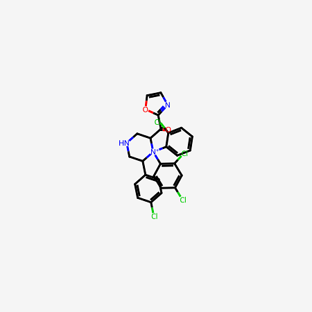 O=C(c1ncco1)C1CNCC(c2ccc(Cl)cc2)[N+]1(c1ccccc1Cl)c1ccc(Cl)cc1Cl